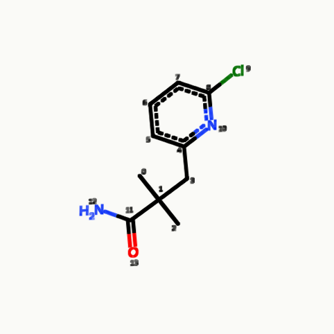 CC(C)(Cc1cccc(Cl)n1)C(N)=O